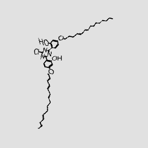 CCCCCCCCCCCCCCCOc1ccc(-c2nc(Cl)nc(-c3ccc(OCCCCCCCCCCCCCCC)cc3O)n2)c(O)c1